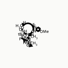 COc1ccc2nc3c(nc2c1)O[C@H]1CN(C(=O)[C@H](C(C)(C)C)NC(=O)O[C@]2(C)C[C@H]2CCCCC3(F)F)[C@H](C(=O)N[C@]2(C(=O)NS(=O)(=O)C3(C)CC3)CC2C(F)F)[C@@H]1C